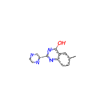 Cc1ccc2nc(-c3cnccn3)nc(O)c2c1